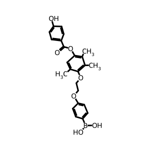 Cc1cc(OC(=O)c2ccc(O)cc2)c(C)c(C)c1OCCOc1ccc(B(O)O)cc1